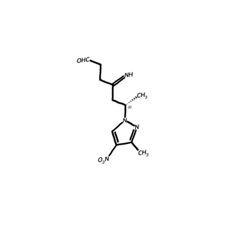 Cc1nn([C@@H](C)CC(=N)CCC=O)cc1[N+](=O)[O-]